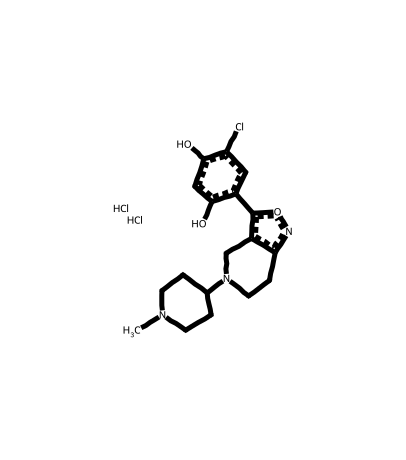 CN1CCC(N2CCc3noc(-c4cc(Cl)c(O)cc4O)c3C2)CC1.Cl.Cl